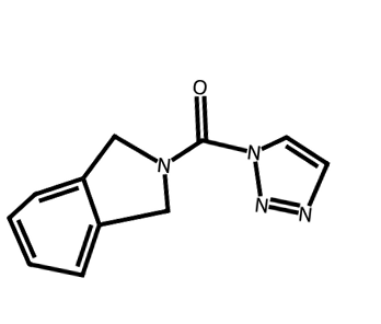 O=C(N1Cc2ccccc2C1)n1ccnn1